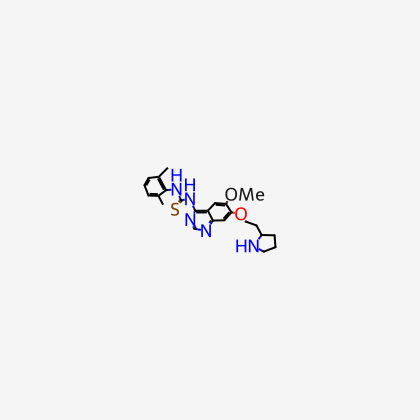 COc1cc2c(NC(=S)Nc3c(C)cccc3C)ncnc2cc1OCCC1CCCN1